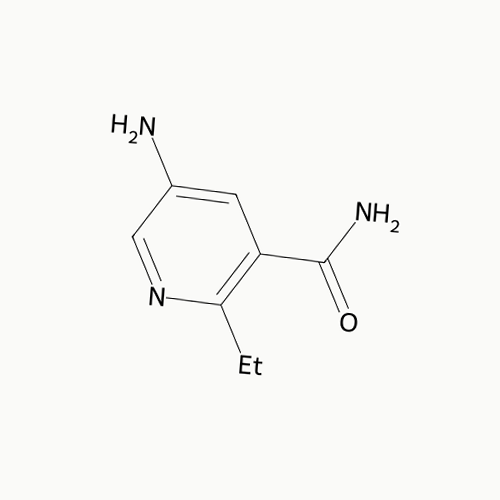 CCc1ncc(N)cc1C(N)=O